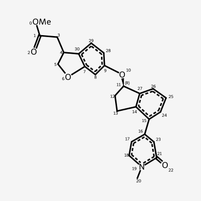 COC(=O)CC1COc2cc(O[C@@H]3CCc4c(-c5ccn(C)c(=O)c5)cccc43)ccc21